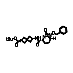 CC(C)(C)OC(=O)N1CC2(CC(NC(=O)[C@H]3CC[C@@H]4CN3C(=O)N4OCc3ccccc3)C2)C1